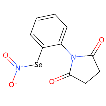 O=C1CCC(=O)N1c1ccccc1[Se][N+](=O)[O-]